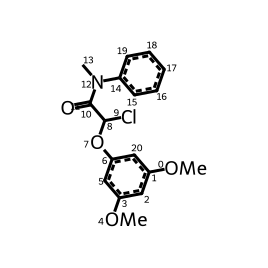 COc1cc(OC)cc(OC(Cl)C(=O)N(C)c2ccccc2)c1